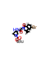 CC(C)(C)OC(=O)N1CCC[C@@H](NC(=O)CN2CC3(CC3)c3cc(Br)ccc3C2=O)C1